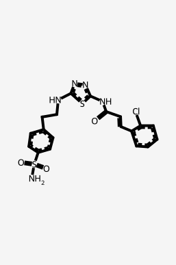 NS(=O)(=O)c1ccc(CCNc2nnc(NC(=O)C=Cc3ccccc3Cl)s2)cc1